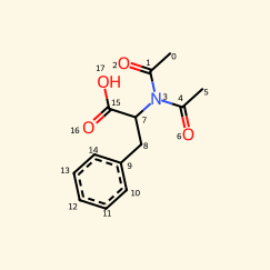 CC(=O)N(C(C)=O)C(Cc1ccccc1)C(=O)O